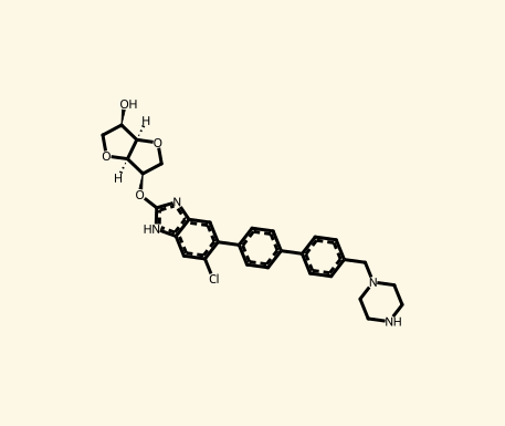 O[C@@H]1CO[C@H]2[C@@H]1OC[C@H]2Oc1nc2cc(-c3ccc(-c4ccc(CN5CCNCC5)cc4)cc3)c(Cl)cc2[nH]1